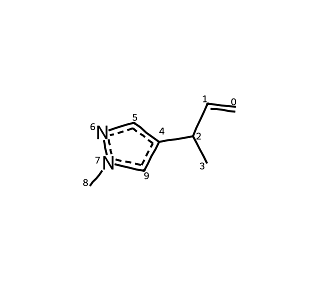 C=CC(C)c1cnn(C)c1